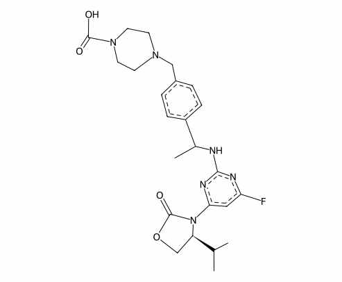 CC(Nc1nc(F)cc(N2C(=O)OC[C@@H]2C(C)C)n1)c1ccc(CN2CCN(C(=O)O)CC2)cc1